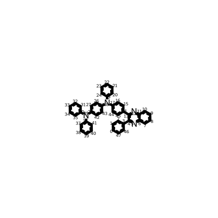 c1ccc(-c2nc3ccccc3nc2-c2ccc(N(c3ccccc3)c3ccc(N(c4ccccc4)c4ccccc4)cc3)cc2)cc1